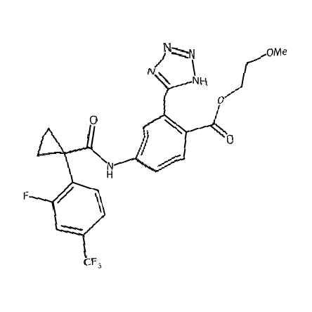 COCCOC(=O)c1ccc(NC(=O)C2(c3ccc(C(F)(F)F)cc3F)CC2)cc1-c1nnn[nH]1